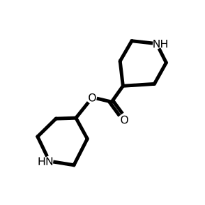 O=C(OC1CCNCC1)C1CCNCC1